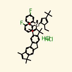 Cl.Cl.[CH2]=[Zr]([C]1=CC(C(C)(C)C)=CC1CC)([C]1=C(C)c2cc3c(cc2C1(C)C)Cc1cc2c(cc1-3)C(C)=CC2(C)C)([c]1cccc(F)c1)[c]1cccc(F)c1